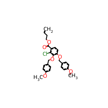 C=CCCOC(=O)c1ccc(OCc2ccc(OC)cc2)c(OCc2ccc(OC)cc2)c1Cl